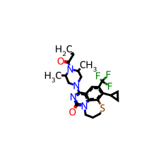 C=CC(=O)N1C(C)CN(c2nc(=O)n3c4c(c(C5CC5)c(C(F)(F)F)cc24)SCCC3)CC1C